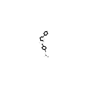 CCCOC(=O)NCc1ccc(C(=O)Nc2nc(-c3ccccc3)ccc2N)cc1